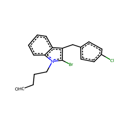 O=CCCCn1c(Br)c(Cc2ccc(Cl)cc2)c2ccccc21